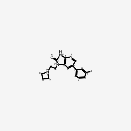 Cc1cccc(-c2cnc3[nH]c(=O)n(CCN4CCC4)c3c2)c1